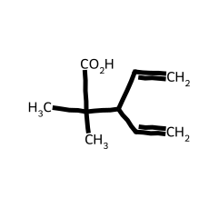 C=CC(C=C)C(C)(C)C(=O)O